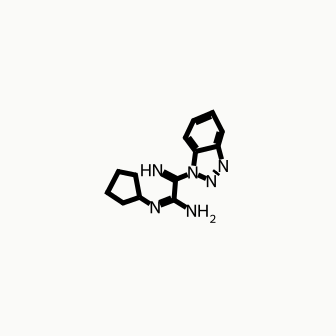 N=C(/C(N)=N\C1CCCC1)n1nnc2ccccc21